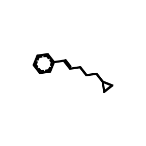 C(=Cc1ccccc1)CCCC1CC1